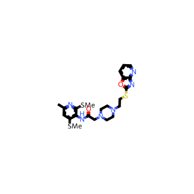 CSc1cc(C)nc(SC)c1NC(=O)CN1CCN(CCSc2nc3ncccc3o2)CC1